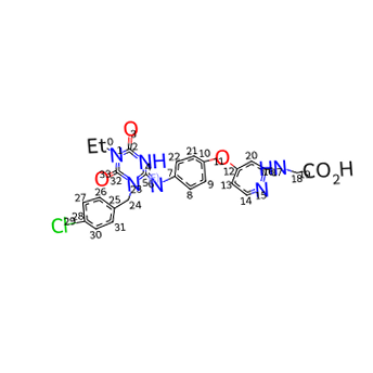 CCn1c(=O)[nH]/c(=N\c2ccc(Oc3ccnc(NCC(=O)O)c3)cc2)n(Cc2ccc(Cl)cc2)c1=O